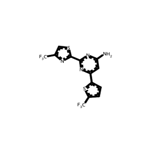 Nc1cc(-c2ccc(C(F)(F)F)s2)nc(-c2nc(C(F)(F)F)cs2)n1